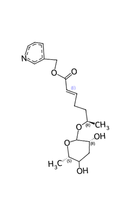 C[C@H](CC/C=C/C(=O)OCc1cccnc1)OC1O[C@@H](C)C(O)C[C@H]1O